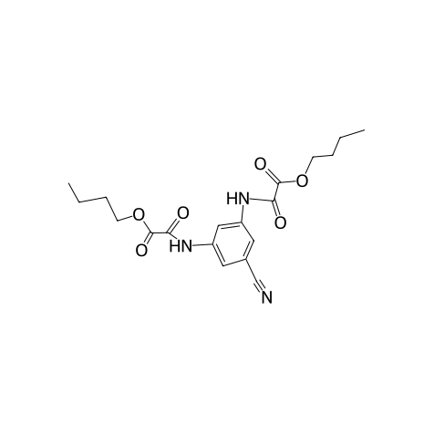 CCCCOC(=O)C(=O)Nc1cc(C#N)cc(NC(=O)C(=O)OCCCC)c1